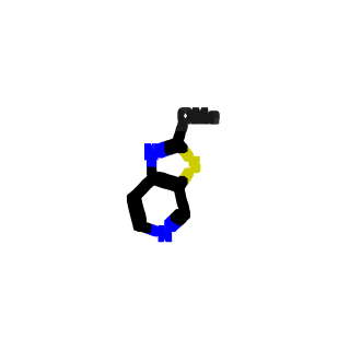 COc1nc2ccncc2s1